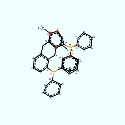 Cc1ccc(C)c2c1C1c3cccc(P(c4ccccc4)c4ccccc4)c3C2c2c1cccc2P(c1ccccc1)c1ccccc1